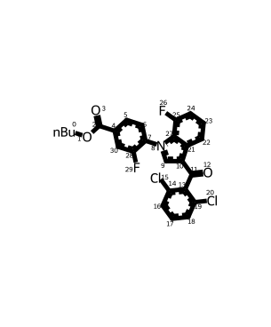 CCCCOC(=O)c1ccc(-n2cc(C(=O)c3c(Cl)cccc3Cl)c3cccc(F)c32)c(F)c1